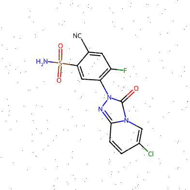 N#Cc1cc(F)c(-n2nc3ccc(Cl)cn3c2=O)cc1S(N)(=O)=O